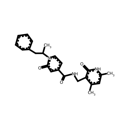 Cc1cc(C)c(CNC(=O)c2ccn(C(C)Cc3ccccc3)c(=O)c2)c(=O)[nH]1